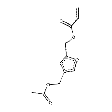 C=CC(=O)OCc1cc(COC(C)=O)co1